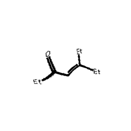 CCC(=O)C=C(CC)CC